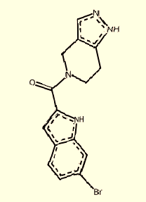 O=C(c1cc2ccc(Br)cc2[nH]1)N1CCc2[nH]ncc2C1